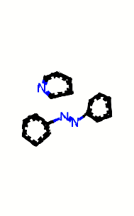 c1ccc(N=Nc2ccccc2)cc1.c1ccncc1